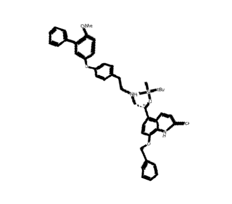 COc1ccc(Oc2ccc(CCNC[C@H](O[Si](C)(C)C(C)(C)C)c3ccc(OCc4ccccc4)c4[nH]c(=O)ccc34)cc2)cc1-c1ccccc1